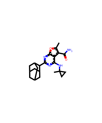 Cc1oc2nc(C3C4CC5CC(C4)CC3C5)nc(NC3(C)CC3)c2c1C(N)=O